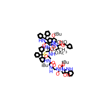 CC[C@H](C)C(NC(=O)CNC(=O)[C@H]1CC2(O)c3ccccc3NC2N1C(=O)OC(C)(C)C)C(=O)NCC(=O)NC(CSC(c1ccccc1)(c1ccccc1)c1ccccc1)C(=O)NC(CC(=O)NC(c1ccccc1)(c1ccccc1)c1ccccc1)C(=O)N1C[C@H](OC(C)(C)C)C[C@]1(C=O)N[C@H](C(=O)OCc1ccccc1)[C@@H](C)[C@H](C)OC(C)=O